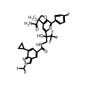 C[C@]1(C(N)=O)COc2c1cc(C(O)(CNC(=O)c1cc(C3CC3)c3nn(C(F)F)cc3c1)C(F)(F)F)nc2-c1ccc(F)cc1